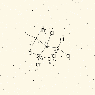 CC(C)C(C)(C)[Si](Cl)([Si](Cl)(Cl)Cl)[Si](Cl)(Cl)Cl